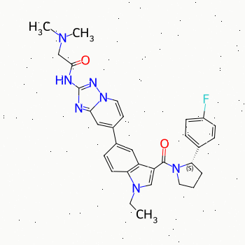 CCn1cc(C(=O)N2CCC[C@H]2c2ccc(F)cc2)c2cc(-c3ccn4nc(NC(=O)CN(C)C)nc4c3)ccc21